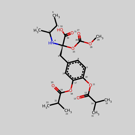 CCC(C)N[C@@](Cc1ccc(OC(=O)C(C)C)c(OC(=O)C(C)C)c1)(OC(=O)OC)C(=O)O